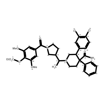 CCOC(=O)Oc1c(OC)cc(C(=O)N2CCC(C(C)N3CCC(C(N)=O)(c4ccccc4)C(c4ccc(Cl)c(Cl)c4)C3)C2)cc1OC